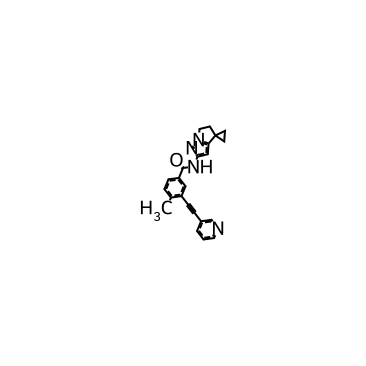 Cc1ccc(C(=O)Nc2cc3n(n2)CCC32CC2)cc1C#Cc1cccnc1